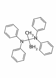 BC(C)(N(c1ccccc1)c1ccccc1)N(c1ccccc1)c1ccccc1